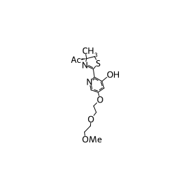 COCCOCCOc1cnc(C2=N[C@@](C)(C(C)=O)CS2)c(O)c1